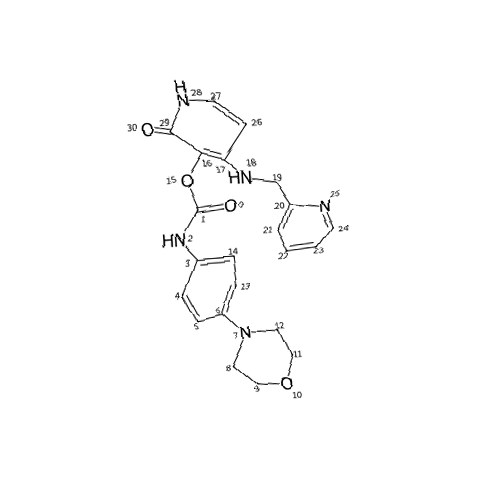 O=C(Nc1ccc(N2CCOCC2)cc1)Oc1c(NCc2ccccn2)cc[nH]c1=O